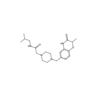 CC(C)CNC(=O)CN1CCN(Cc2ccc3c(c2)NC(=O)C(C)O3)CC1